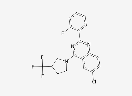 Fc1ccccc1-c1nc(N2CCC(C(F)(F)F)C2)c2cc(Cl)ccc2n1